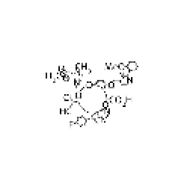 C#C/C(Cl)=C1\C=C/Cc2c(-c3ccc(F)cc3)sc3ncnc(c23)O[C@@H](C(=O)O)Cc2cc(ccc2OCc2ccnc(-c3ccccc3OC)n2)OC[C@@H](CN2CCN(C)C(CS(C)(=O)=O)C2)O1